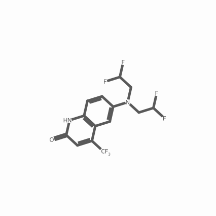 O=c1cc(C(F)(F)F)c2cc(N(CC(F)F)CC(F)F)ccc2[nH]1